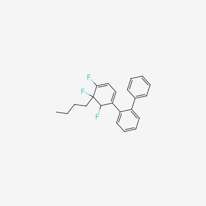 CCCCC1(F)C(F)=CC=C(c2ccccc2-c2ccccc2)C1F